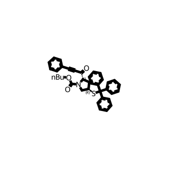 CCCCOC(=O)N1C[C@H](SC(c2ccccc2)(c2ccccc2)c2ccccc2)C[C@H]1C(=O)C#Cc1ccccc1